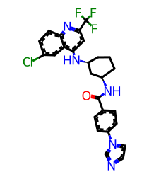 O=C(N[C@@H]1CCC[C@H](Nc2cc(C(F)(F)F)nc3ccc(Cl)cc23)C1)c1ccc(-n2ccnc2)cc1